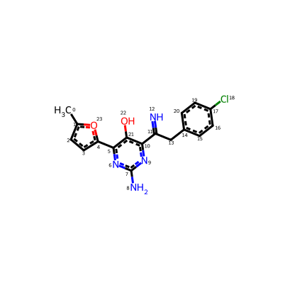 Cc1ccc(-c2nc(N)nc(C(=N)Cc3ccc(Cl)cc3)c2O)o1